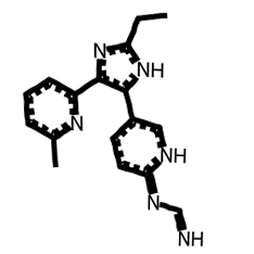 CCc1nc(-c2cccc(C)n2)c(-c2cc/c(=N/C=N)[nH]c2)[nH]1